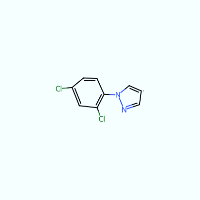 Clc1ccc(-n2c[c]cn2)c(Cl)c1